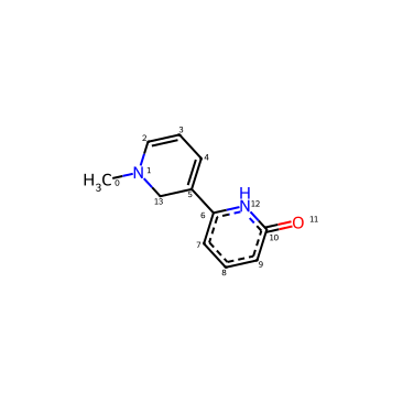 CN1C=CC=C(c2cccc(=O)[nH]2)C1